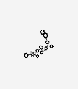 c1ccc(-c2nc(-c3ccccc3)n(-c3ccc(-c4ccccc4-c4ccccc4-c4ccc(N(c5ccccc5)c5ccc(-c6ccc7ccccc7c6)cc5)cc4)cc3)n2)cc1